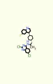 C[C@H](C[C@H]1CC[C@H](c2ccnc3ccc(F)cc32)CC1)Nc1nc(Cl)nc2cc(Cl)ccc12